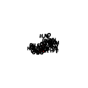 CC(C)(C)c1ccc(C[C@H](NC(=O)[C@H](CCC(N)=O)NC(=O)[C@@H]2CC[C@@H]3CCN(CC(F)F)C[C@H](NC(=O)c4cc5cc(C(F)(F)P(=O)(O)O)ccc5s4)C(=O)N32)C(=O)N2CCN(C3CN(c4cccc5c4CN(C4CCC(=O)NC4=O)C5=O)C3)CC2)cc1